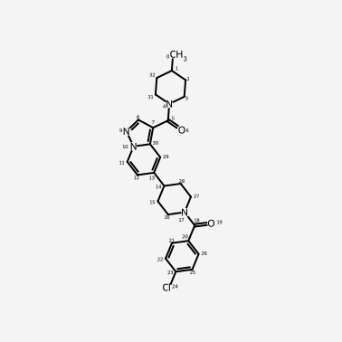 CC1CCN(C(=O)c2cnn3ccc(C4CCN(C(=O)c5ccc(Cl)cc5)CC4)cc23)CC1